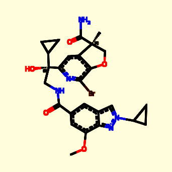 COc1cc(C(=O)NC[C@](O)(c2cc3c(c(Br)n2)OC[C@]3(C)C(N)=O)C2CC2)cc2cn(C3CC3)nc12